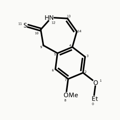 CCOc1cc2c(cc1OC)CC(=S)NC=C2